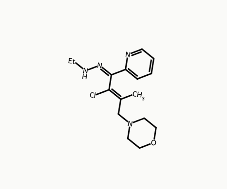 CCN/N=C(\C(Cl)=C(/C)CN1CCOCC1)c1ccccn1